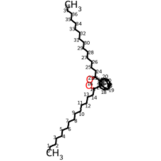 CCCCCCCCCCCCCCCC(=O)[C]12[CH]3[CH]4[CH]5[C]1(C(=O)CCCCCCCCCCCCCCC)[Fe]43521678[CH]2[CH]1[CH]6[CH]7[CH]28